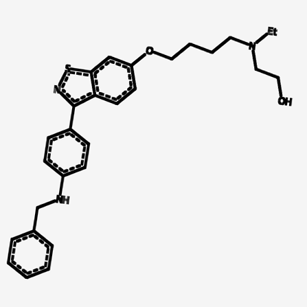 CCN(CCO)CCCCOc1ccc2c(-c3ccc(NCc4ccccc4)cc3)nsc2c1